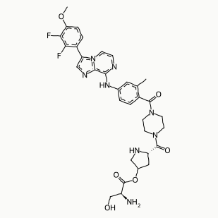 COc1ccc(-c2cnc3c(Nc4ccc(C(=O)N5CCN(C(=O)[C@@H]6CC(OC(=O)[C@@H](N)CO)CN6)CC5)c(C)c4)nccn23)c(F)c1F